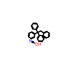 N#CO.c1ccc(CC(c2ccccc2)(c2ccccc2)c2ccccc2)cc1